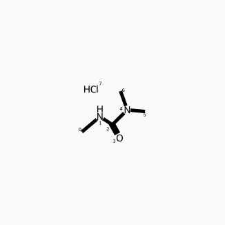 CNC(=O)N(C)C.Cl